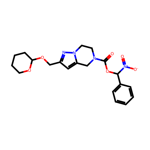 O=C(OC(c1ccccc1)[N+](=O)[O-])N1CCn2nc(COC3CCCCO3)cc2C1